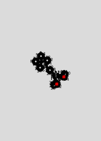 c1ccc(C2(c3ccccc3)c3ccccc3N(c3ccc(-c4nc(C56CC7CC(CC(C7)C5)C6)nc(C56CC7CC(CC(C7)C5)C6)n4)cc3)c3ccccc32)cc1